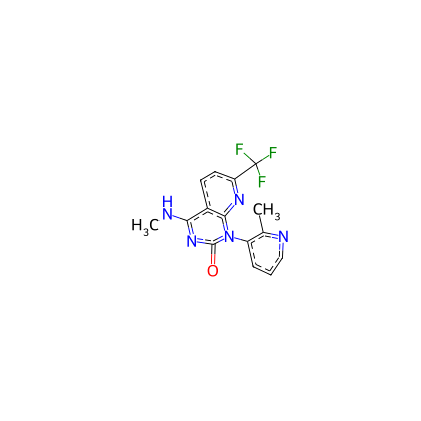 CNc1nc(=O)n(-c2cccnc2C)c2nc(C(F)(F)F)ccc12